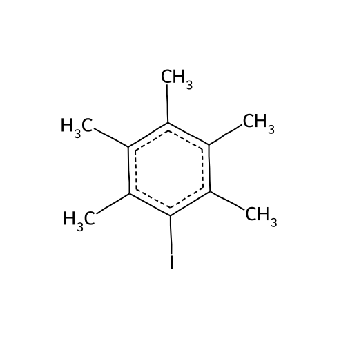 Cc1c(C)c(C)c(I)c(C)c1C